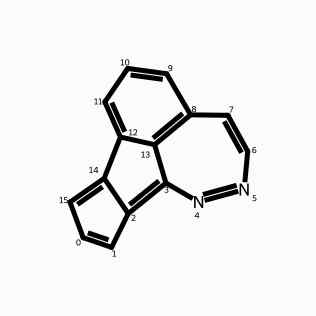 C1=Cc2c3nnccc4cccc(c4-3)c2=C1